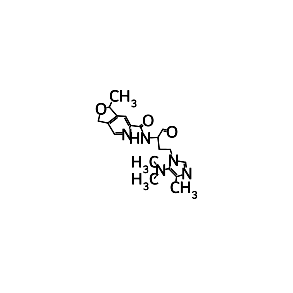 Cc1ncn(CCC(C=O)NC(=O)c2cc3c(cn2)COC3C)c1N(C)C